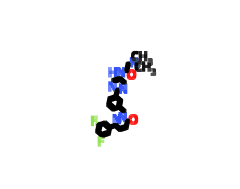 CN(C)CC(=O)Nc1cnc(-c2cccc(Cn3nc(-c4cc(F)cc(F)c4)ccc3=O)c2)nc1